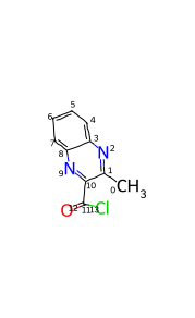 Cc1nc2ccccc2nc1C(=O)Cl